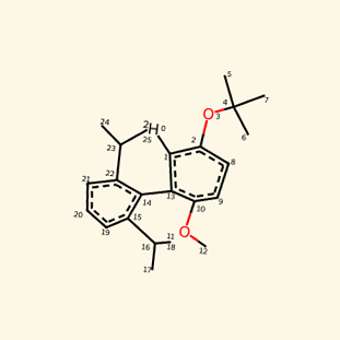 [2H]c1c(OC(C)(C)C)ccc(OC)c1-c1c(C(C)C)cccc1C(C)C